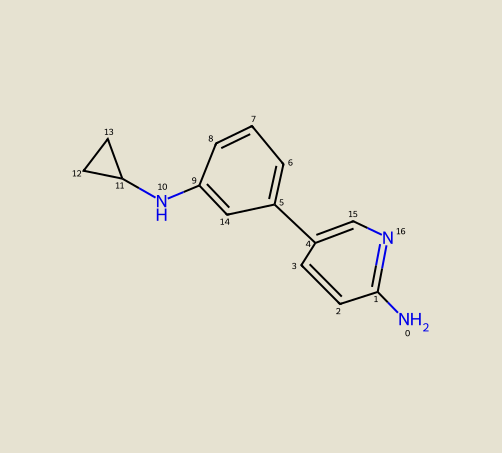 Nc1ccc(-c2cccc(NC3CC3)c2)cn1